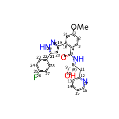 COc1ccc(C(=O)N[C@@H](CO)Cc2ccccn2)c(-c2cc(-c3ccc(F)cc3)[nH]n2)c1